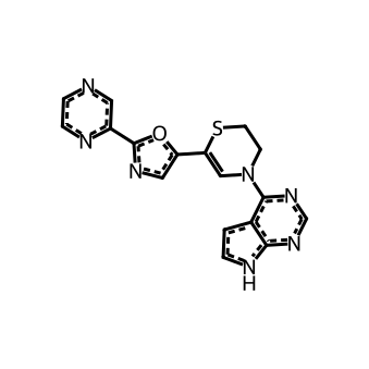 C1=C(c2cnc(-c3cnccn3)o2)SCCN1c1ncnc2[nH]ccc12